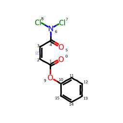 O=C(/C=C\C(=O)N(Cl)Cl)Oc1ccccc1